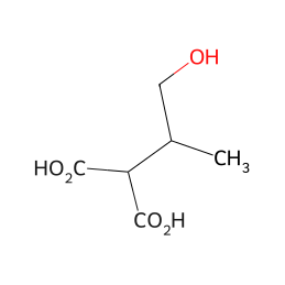 CC(CO)C(C(=O)O)C(=O)O